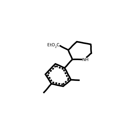 CCOC(=O)C1CCCNC1c1ccc(C)cc1C